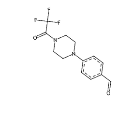 O=Cc1ccc(N2CCN(C(=O)C(F)(F)F)CC2)cc1